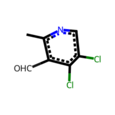 Cc1ncc(Cl)c(Cl)c1C=O